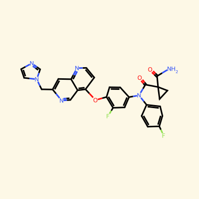 NC(=O)C1(C(=O)N(c2ccc(F)cc2)c2ccc(Oc3ccnc4cc(Cn5ccnc5)ncc34)c(F)c2)CC1